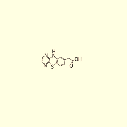 O=C(O)Cc1ccc2c(c1)Nc1nccnc1S2